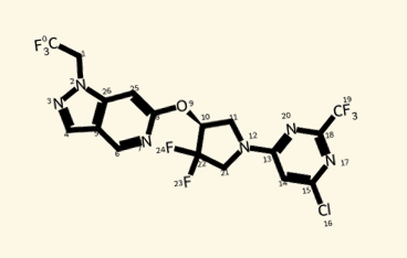 FC(F)(F)Cn1ncc2cnc(O[C@H]3CN(c4cc(Cl)nc(C(F)(F)F)n4)CC3(F)F)cc21